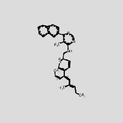 C\C=C/C(=C\C(C)=C\CC)C1=CNC(CNc2ncnc(-c3ccc4ccccc4c3)c2C)C=C1